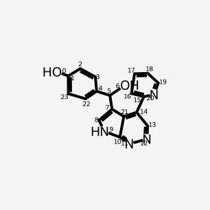 Oc1ccc(C(O)c2c[nH]c3nncc(-c4ccccn4)c23)cc1